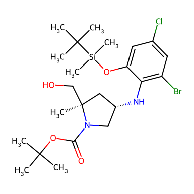 CC(C)(C)OC(=O)N1C[C@@H](Nc2c(Br)cc(Cl)cc2O[Si](C)(C)C(C)(C)C)C[C@]1(C)CO